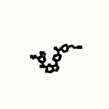 Cc1ccc(Nc2ncc3ccn(-c4ccc(C(=O)N5CCN(CCO)CC5)cc4)c3n2)cc1C